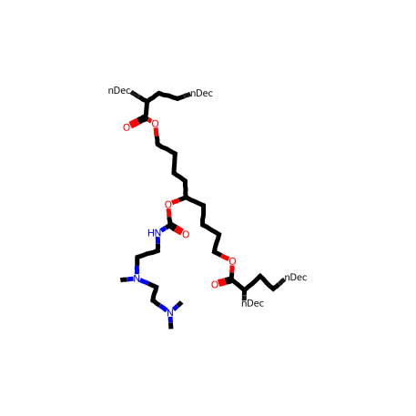 CCCCCCCCCCCCC(CCCCCCCCCC)C(=O)OCCCCC(CCCCOC(=O)C(CCCCCCCCCC)CCCCCCCCCCCC)OC(=O)NCCN(C)CCN(C)C